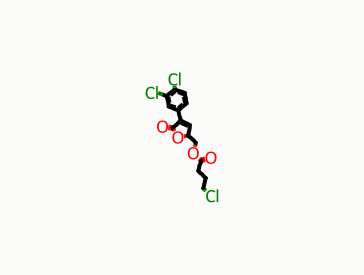 O=C(CCCCl)OCC1C=C(c2ccc(Cl)c(Cl)c2)C(=O)O1